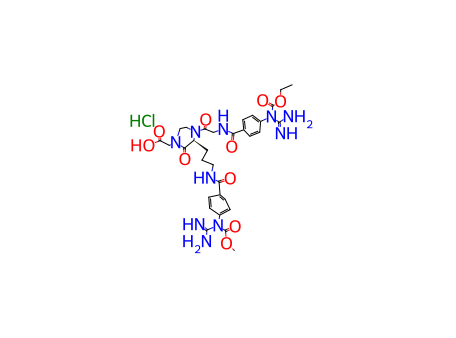 CCOC(=O)N(C(=N)N)c1ccc(C(=O)NCC(=O)N2CCN(CC(=O)O)C(=O)[C@@H]2CCCNC(=O)c2ccc(N(C(=N)N)C(=O)OC)cc2)cc1.Cl